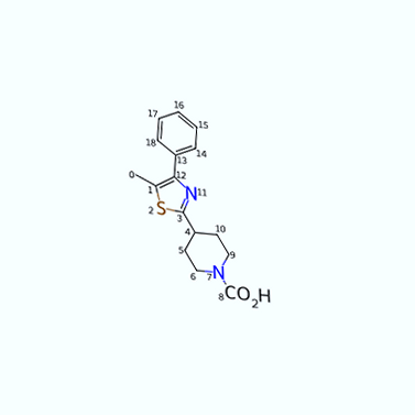 Cc1sc(C2CCN(C(=O)O)CC2)nc1-c1ccccc1